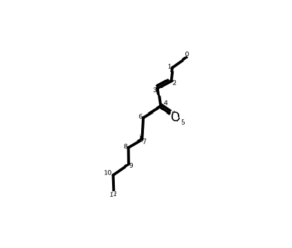 CC/C=C/C(=O)CCCCCC